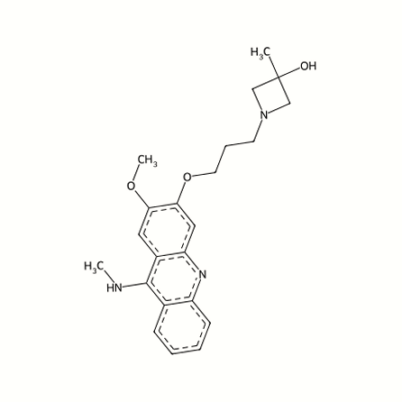 CNc1c2ccccc2nc2cc(OCCCN3CC(C)(O)C3)c(OC)cc12